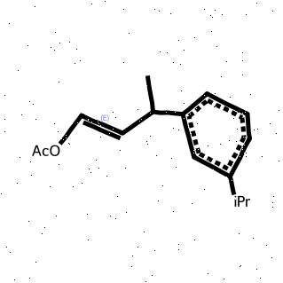 CC(=O)O/C=C/C(C)c1cccc(C(C)C)c1